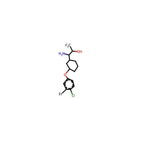 CCc1cc(OC2CCCC(C(N)C(O)C(F)(F)F)C2)ccc1Cl